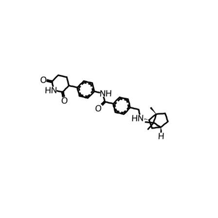 CC1(C)[C@@H]2CC[C@@]1(C)[C@@H](NCc1ccc(C(=O)Nc3ccc(C4CCC(=O)NC4=O)cc3)cc1)C2